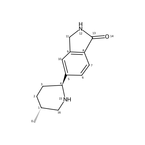 C[C@@H]1CC[C@@H](c2ccc3c(c2)CNC3=O)NC1